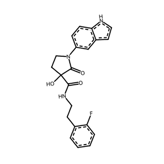 O=C(NCCc1ccccc1F)C1(O)CCN(c2ccc3[nH]ccc3c2)C1=O